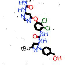 CCCNC(=O)Nc1cc(Oc2ccc(NC(=O)Nc3cc(C(C)(C)C)nn3-c3ccc(CO)cc3)c(Cl)c2Cl)ncn1